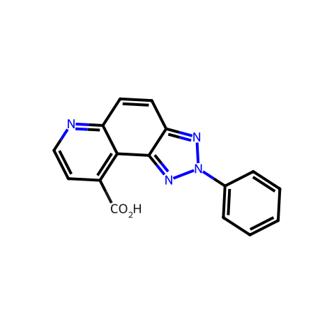 O=C(O)c1ccnc2ccc3nn(-c4ccccc4)nc3c12